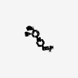 CC(C)(C)c1ccc(N2CCC(C(=O)O)CC2)cc1Br